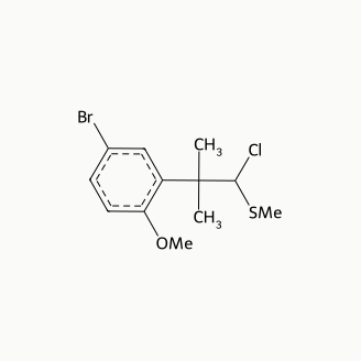 COc1ccc(Br)cc1C(C)(C)C(Cl)SC